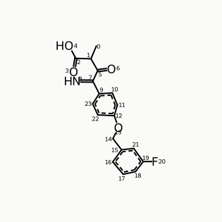 CC(C(=O)O)C(=O)C(=N)c1ccc(OCc2cccc(F)c2)cc1